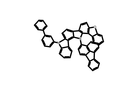 c1ccc(-c2cccc(-n3c4ccccc4c4c3ccc3c5ccc6oc7ccccc7c6c5n(-c5ccc6c7c(cccc57)-c5ccccc5-6)c34)c2)cc1